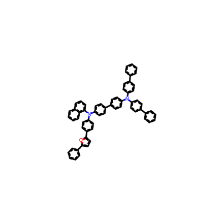 c1ccc(-c2ccc(N(c3ccc(-c4ccccc4)cc3)c3ccc(-c4ccc(N(c5ccc(-c6ccc(-c7ccccc7)o6)cc5)c5cccc6ccccc56)cc4)cc3)cc2)cc1